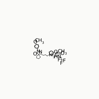 COc1ccc(N2N=C(CCCc3ccc(OC(C)(C)C(=O)NCC(F)(F)F)cc3)C3(CCCC3)C2=O)cc1